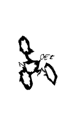 CCOc1c(-c2ccccc2)nc2ccccc2c1N1CCCC1